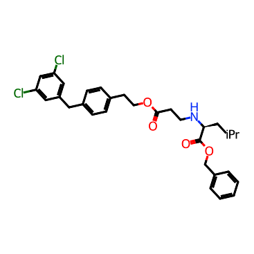 CC(C)C[C@H](NCCC(=O)OCCc1ccc(Cc2cc(Cl)cc(Cl)c2)cc1)C(=O)OCc1ccccc1